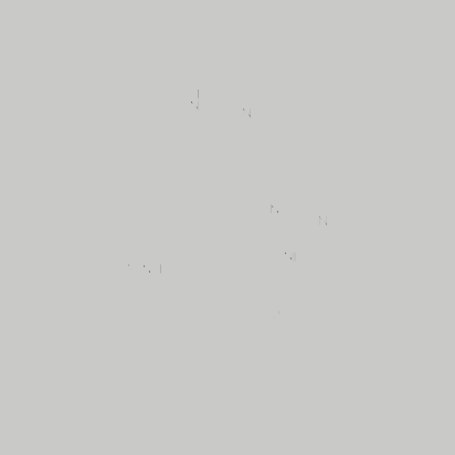 CC(=O)NCc1ccc(Nc2nccc(-c3cnc4c(c3)C(C)(C)CN4)n2)c(OC(F)F)c1